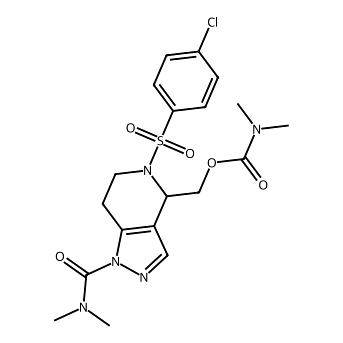 CN(C)C(=O)OCC1c2cnn(C(=O)N(C)C)c2CCN1S(=O)(=O)c1ccc(Cl)cc1